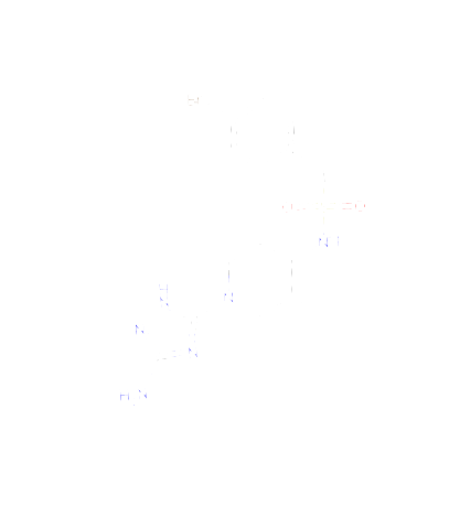 CC1CN(c2nc(N)n[nH]2)CCC1NS(=O)(=O)Cc1ccc(Br)cc1